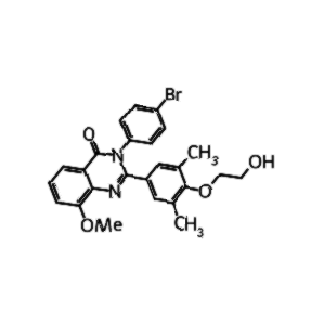 COc1cccc2c(=O)n(-c3ccc(Br)cc3)c(-c3cc(C)c(OCCO)c(C)c3)nc12